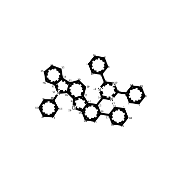 c1ccc(-c2nc(-c3ccccc3)nc(-c3c(-c4ccccc4)ccc4oc5c(ccc6c7ccccc7n(-c7ccccc7)c65)c34)n2)cc1